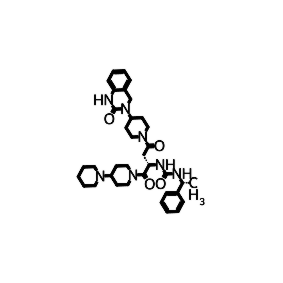 C[C@@H](NC(=O)N[C@@H](CC(=O)N1CCC(N2Cc3ccccc3NC2=O)CC1)C(=O)N1CCC(N2CCCCC2)CC1)c1ccccc1